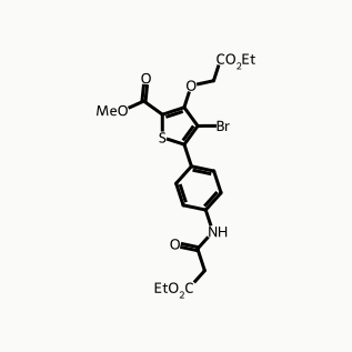 CCOC(=O)COc1c(C(=O)OC)sc(-c2ccc(NC(=O)CC(=O)OCC)cc2)c1Br